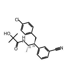 C[C@H](NC(=O)C(C)(C)O)[C@@H](Cc1ccc(Cl)cc1)c1cccc(C#N)c1